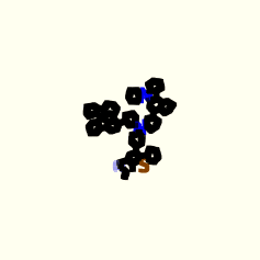 C=C/C=C\c1cc(-c2ccc(N(c3cccc(-c4ccc5c(c4)C4(c6ccccc6-c6ccccc64)c4ccccc4-5)c3)c3cccc(-c4cc5c(c6ccccc46)c4ccccc4n5-c4ccccc4)c3)cc2)c2c(sc3ccccc32)c1C